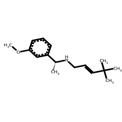 COc1cccc([C@@H](C)NC/C=C/C(C)(C)C)c1